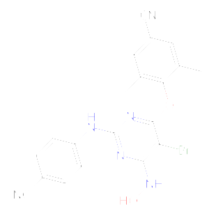 Cc1cc(C#N)cc(C)c1Oc1nc(Nc2ccc(C#N)cc2)nc(NO)c1Br